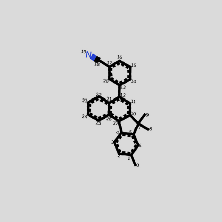 Cc1ccc2c(c1)C(C)(C)c1cc(-c3cccc(C#N)c3)c3ccccc3c1-2